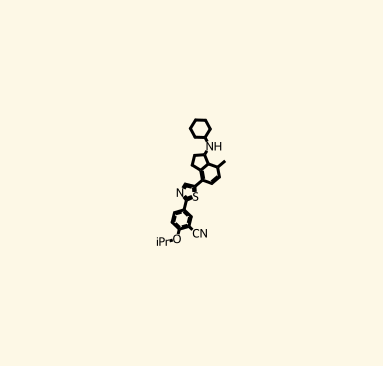 CC(C)Oc1ccc(-c2ncc(C3=C4CCC(NC5CCCCC5)C4C(C)C=C3)s2)cc1C#N